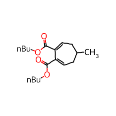 CCCCOC(=O)C1=CCC(C)CC=C1C(=O)OCCCC